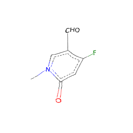 Cn1cc(C=O)c(F)cc1=O